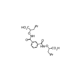 CC(C)C[C@@H](ONC(=O)c1cccc(C(=O)NO[C@H](CC(C)C)C(=O)O)c1)C(=O)O